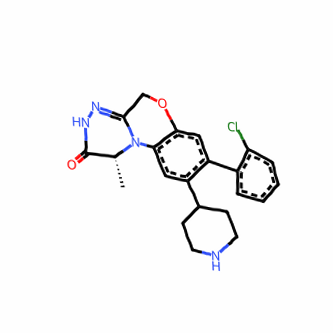 C[C@@H]1C(=O)NN=C2COc3cc(-c4ccccc4Cl)c(C4CCNCC4)cc3N21